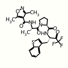 Cc1noc(C)c1C(=O)N[C@@H](C)C(=O)N1CCC[C@H]1C(=O)N[C@@H](Cc1csc2ccccc12)C(=O)C(F)(F)F